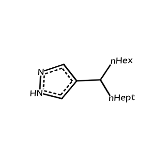 CCCCCCCC(CCCCCC)c1cn[nH]c1